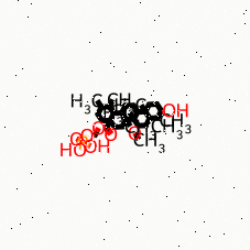 COC1CC2C(C)(C)C(O)CCC2(C)C2CCC3C4C(C)C(C)CCC4(C(=O)OCOP(=O)(O)O)CCC3(C)C12C